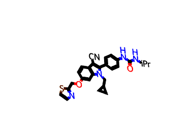 CC(C)NC(=O)Nc1ccc(-c2c(C#N)c3ccc(OCc4nccs4)cc3n2CC2CC2)cc1